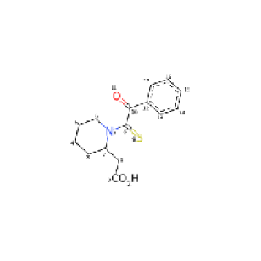 O=C(O)CC1CCCCN1C(=S)C(=O)c1ccccc1